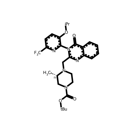 CC(C)Oc1ccc(C(F)(F)F)nc1-n1c(CN2CCN(C(=O)OC(C)(C)C)C[C@@H]2C)nc2ccccc2c1=O